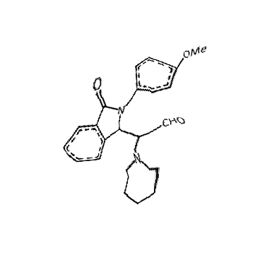 COc1ccc(N2C(=O)c3ccccc3C2C(C=O)N2CCCCC2)cc1